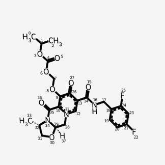 CC(C)OC(=O)OCOc1c2n(cc(C(=O)NCc3ccc(F)cc3F)c1=O)C[C@H]1OC[C@H](C)N1C2=O